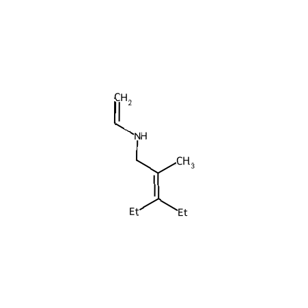 C=CNCC(C)=C(CC)CC